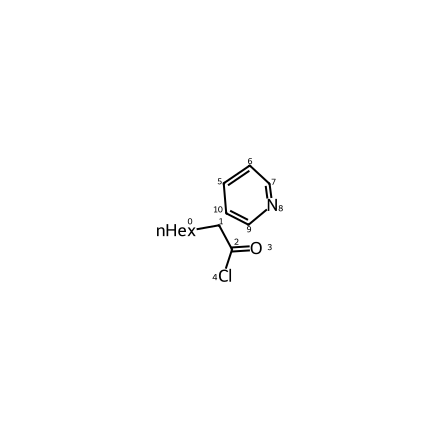 CCCCCCCC(=O)Cl.c1ccncc1